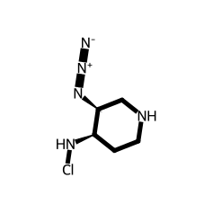 [N-]=[N+]=N[C@H]1CNCC[C@H]1NCl